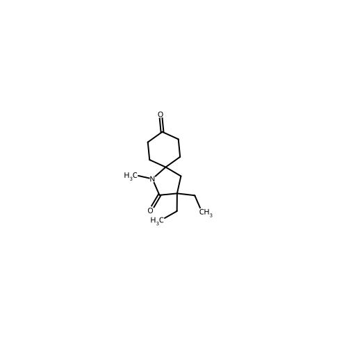 CCC1(CC)CC2(CCC(=O)CC2)N(C)C1=O